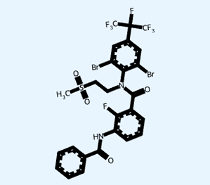 CS(=O)(=O)CCN(C(=O)c1cccc(NC(=O)c2ccccc2)c1F)c1c(Br)cc(C(F)(C(F)(F)F)C(F)(F)F)cc1Br